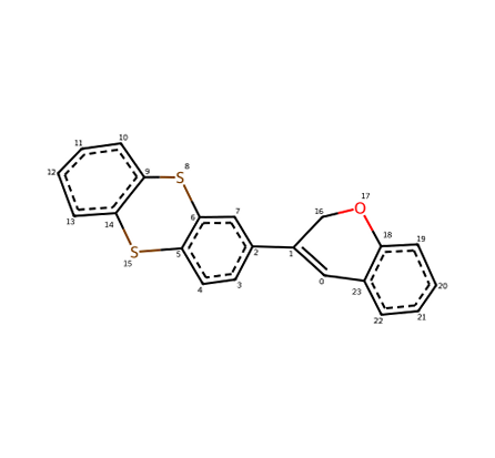 C1=C(c2ccc3c(c2)Sc2ccccc2S3)COc2ccccc21